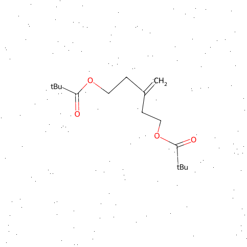 C=C(CCOC(=O)C(C)(C)C)CCOC(=O)C(C)(C)C